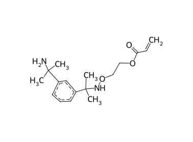 C=CC(=O)OCCONC(C)(C)c1cccc(C(C)(C)N)c1